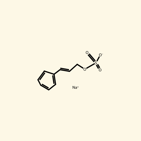 O=S(=O)([O-])OCC=Cc1ccccc1.[Na+]